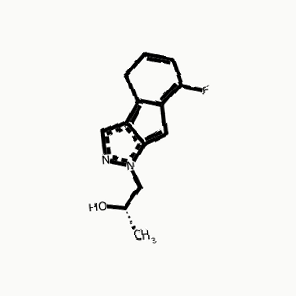 C[C@H](O)Cn1ncc2c1=CC1=C(F)C=CCC=21